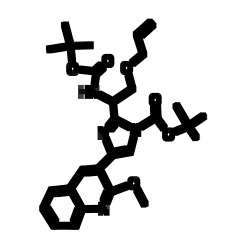 C=CCOCC(NC(=O)OC(C)(C)C)c1nc(-c2cc3ccccc3nc2OC)cn1C(=O)OC(C)(C)C